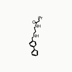 CC(C)CC(=O)NCCCNCc1ccc(-c2ccccc2)cc1